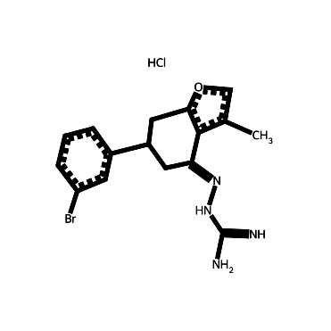 Cc1coc2c1/C(=N/NC(=N)N)CC(c1cccc(Br)c1)C2.Cl